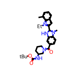 CCn1c(C2Nc3cc(C(=O)N4CCCC(NC(=O)OC(C)(C)C)C4)ccc3N2C)cc2cccc(C)c21